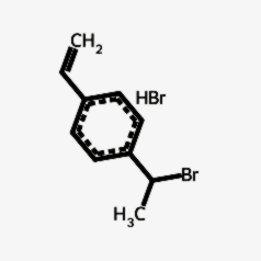 Br.C=Cc1ccc(C(C)Br)cc1